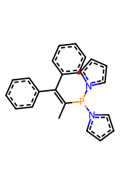 CC(=C(c1ccccc1)c1ccccc1)P(n1cccc1)n1cccc1